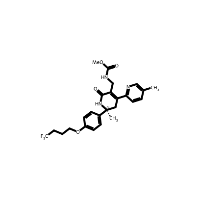 COC(=O)NCC1=C(c2ccc(C)cn2)C[C@@](C)(c2ccc(OCCCC(F)(F)F)cc2)NC1=O